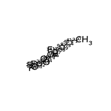 CCCC1CCC(c2ccc(-c3cc(F)c(OCC4COC(c5ccc(OC(F)(F)F)cc5)OC4)c(F)c3)cc2)CC1